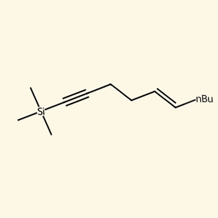 CCCC/C=C/CCC#C[Si](C)(C)C